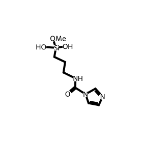 CO[Si](O)(O)CCCNC(=O)n1ccnc1